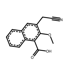 COc1c(CC#N)cc2ccccc2c1C(=O)O